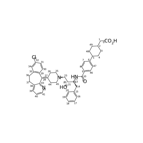 O=C(O)CC1CCC(c2ccc(C(=O)N[C@@H](Cc3ccccc3)[C@H](O)CN3CCC(=C4c5ccc(Cl)cc5CCc5cccnc54)CC3)cc2)CC1